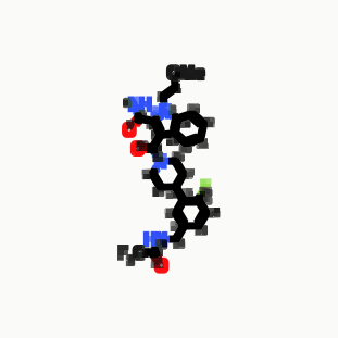 COCCn1c(C(N)=O)c(C(=O)N2CCC(c3cc(CNC(=O)C(F)(F)F)ccc3F)CC2)c2[c]cccc21